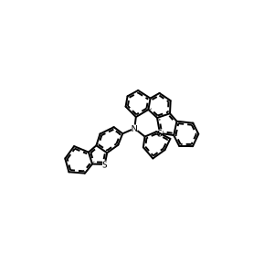 c1ccc(N(c2ccc3c(c2)sc2ccccc23)c2cccc3ccc4c5ccccc5sc4c23)cc1